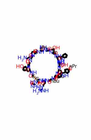 CCCC[C@H]1C(=O)N(C)[C@@H](CCCC)C(=O)NC(CCCNC(=N)N)C(=O)N[C@H](C(=O)NCC(N)=O)CSCC(=O)N[C@@H](Cc2ccc(O)cc2)C(=O)N(C)[C@@H](C)C(=O)N[C@@H](CC(N)=O)C(=O)N2CCC[C@H]2C(=O)N[C@@H](CN)C(=O)N[C@@H](CC(C)C)C(=O)N2C[C@H](O)C[C@H]2C(=O)N[C@@H](Cc2c[nH]c3ccccc23)C(=O)N[C@@H](CO)C(=O)N[C@@H](Cc2c(-c3ccc(OCCC)cc3)[nH]c3ccccc23)C(=O)N1C